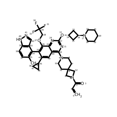 C=CC(=O)N1CC2(CCN(c3nc(O[C@H]4C[C@H](N5CCCCC5)C4)nc4c(OCC(F)(F)F)c(-c5c(C)ccc6[nH]ncc56)c(C5CC5)cc34)CC2)C1